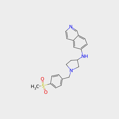 CS(=O)(=O)c1ccc(CN2CCC(Nc3ccc4cnccc4c3)C2)cc1